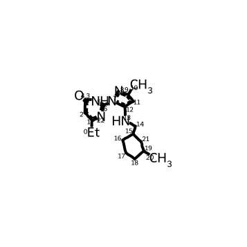 CCc1cc(=O)[nH]c(-n2nc(C)cc2NCC2CCCC(C)C2)n1